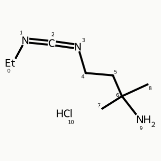 CCN=C=NCCC(C)(C)N.Cl